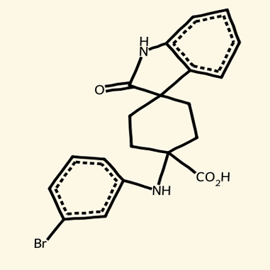 O=C(O)C1(Nc2cccc(Br)c2)CCC2(CC1)C(=O)Nc1ccccc12